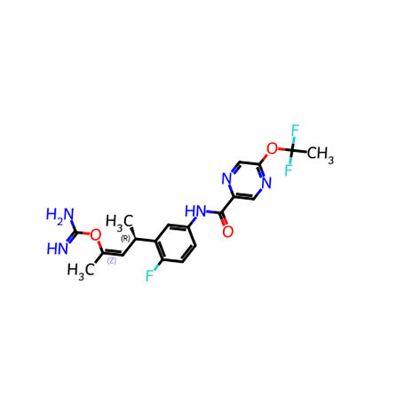 C/C(=C/[C@@H](C)c1cc(NC(=O)c2cnc(OC(C)(F)F)cn2)ccc1F)OC(=N)N